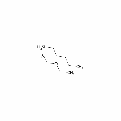 CCCCC[SiH3].CCOCC